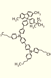 CCCCc1ccc(N(c2ccc(CCCC)cc2)c2ccc(-c3ccc(N(c4ccc(CCCC)cc4)c4ccc(-c5ccc(C6(c7ccc(C(C)(C)C)cc7)c7cc(C)ccc7-c7ccc(C)cc76)cc5)cc4)cc3)cc2)cc1